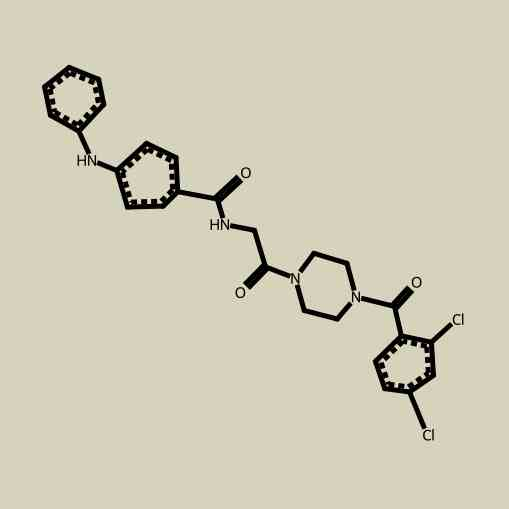 O=C(NCC(=O)N1CCN(C(=O)c2ccc(Cl)cc2Cl)CC1)c1ccc(Nc2ccccc2)cc1